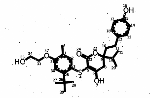 Cc1cc(SC2=C(O)CC(CCc3ccc(O)cc3)(C(C)C)OC2=O)c(C(C)(C)C)cc1OCCO